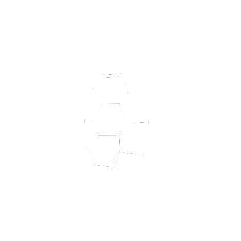 [CH2]P(c1ccccc1C)c1ccccc1C